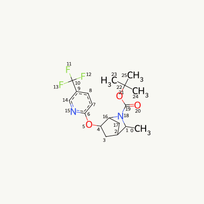 CC1C2CC(Oc3ccc(C(F)(F)F)cn3)C(C2)N1C(=O)OC(C)(C)C